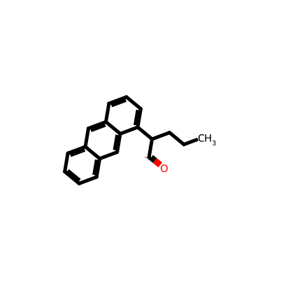 CCCC([C]=O)c1cccc2cc3ccccc3cc12